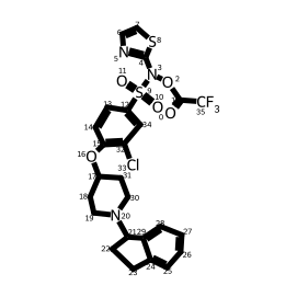 O=C(ON(c1nccs1)S(=O)(=O)c1ccc(OC2CCN(C3CCc4ccccc43)CC2)c(Cl)c1)C(F)(F)F